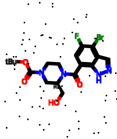 CC(C)(C)OC(=O)N1CCN(C(=O)c2cc(F)c(Br)c3cn[nH]c23)[C@@H](CO)C1